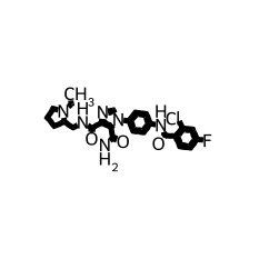 CCN1CCCC1CNC(=O)c1ncn(-c2ccc(NC(=O)c3ccc(F)cc3Cl)cc2)c1C(N)=O